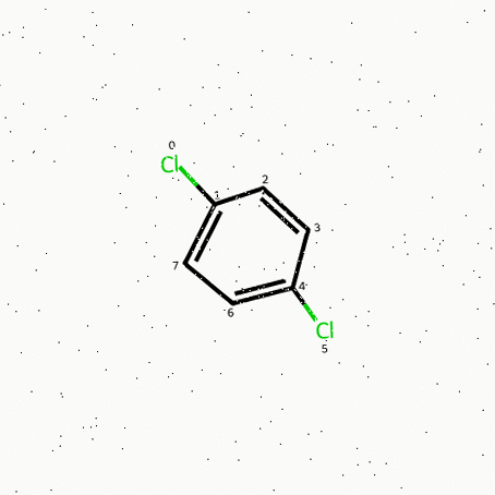 Clc1[c]cc(Cl)cc1